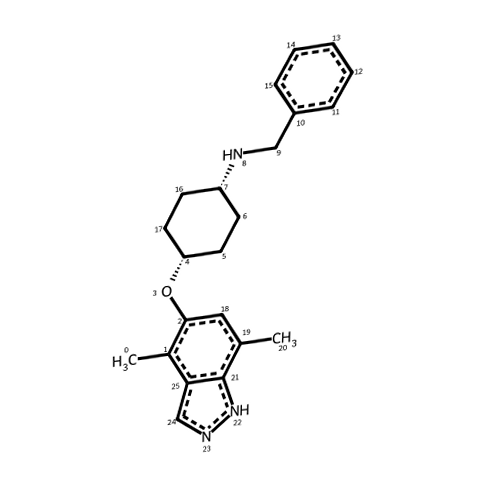 Cc1c(O[C@H]2CC[C@@H](NCc3ccccc3)CC2)cc(C)c2[nH]ncc12